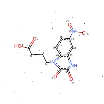 O=C(O)CCCn1c(=O)c(=O)[nH]c2cc([N+](=O)[O-])ccc21